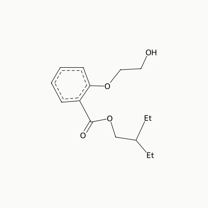 CCC(CC)COC(=O)c1ccccc1OCCO